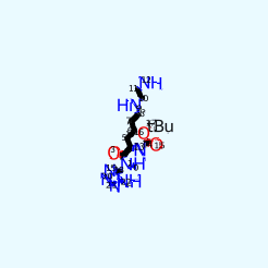 CN(C(=O)C(CCCCNCC=N)NC(=O)OC(C)(C)C)c1nnn[nH]1